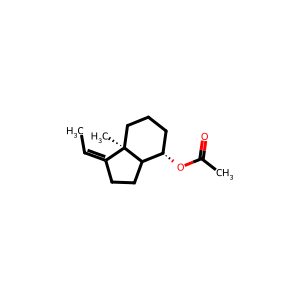 C/C=C1/CCC2[C@@H](OC(C)=O)CCC[C@]12C